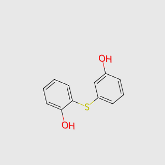 Oc1cccc(Sc2ccccc2O)c1